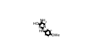 COc1ccc(Nc2ncc(N)c(O)n2)cc1